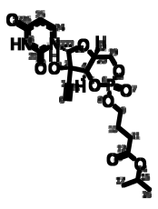 C#C[C@@]1(O)[C@@H]2O[P@](=O)(OCCCC(=O)OC(C)C)OC[C@H]2O[C@H]1n1ccc(=O)[nH]c1=O